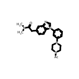 CC(=O)N1CCN(c2cccc(-n3cnc4cc(CC(=O)N(C)C)ccc43)c2)CC1